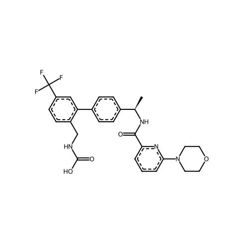 C[C@@H](NC(=O)c1cccc(N2CCOCC2)n1)c1ccc(-c2cc(C(F)(F)F)ccc2CNC(=O)O)cc1